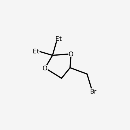 CCC1(CC)OCC(CBr)O1